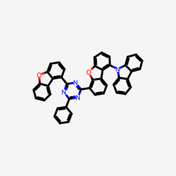 c1ccc(-c2nc(-c3cccc4c3oc3cccc(-n5c6ccccc6c6ccccc65)c34)nc(-c3cccc4oc5ccccc5c34)n2)cc1